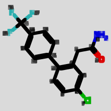 NC(=O)Cc1cc(Cl)ccc1-c1ccc(C(F)(F)F)cc1